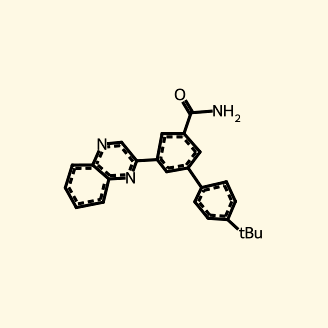 CC(C)(C)c1ccc(-c2cc(C(N)=O)cc(-c3cnc4ccccc4n3)c2)cc1